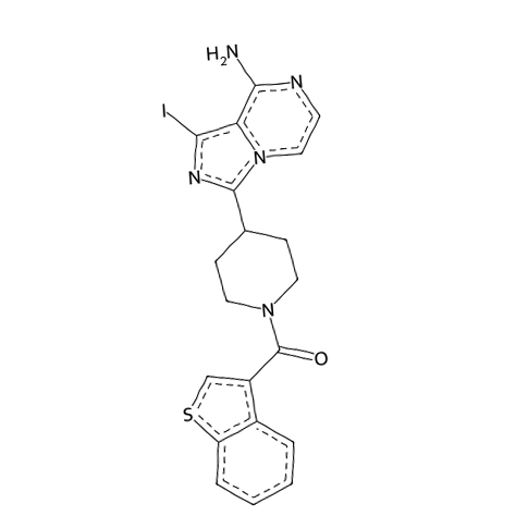 Nc1nccn2c(C3CCN(C(=O)c4csc5ccccc45)CC3)nc(I)c12